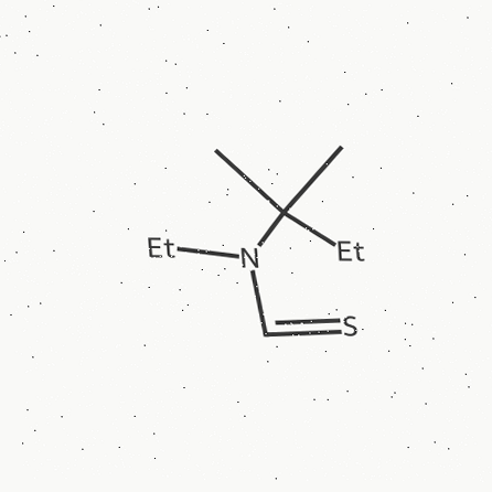 CCN(C=S)C(C)(C)CC